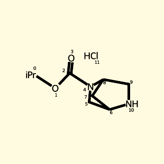 CC(C)OC(=O)N1CC2CC1CN2.Cl